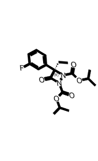 CC[C@@]1(c2cccc(F)c2)C(=O)N(C(=O)OC(C)C)N1C(=O)OC(C)C